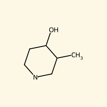 CC1C[N]CCC1O